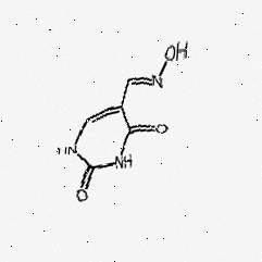 O=c1[nH]cc(C=NO)c(=O)[nH]1